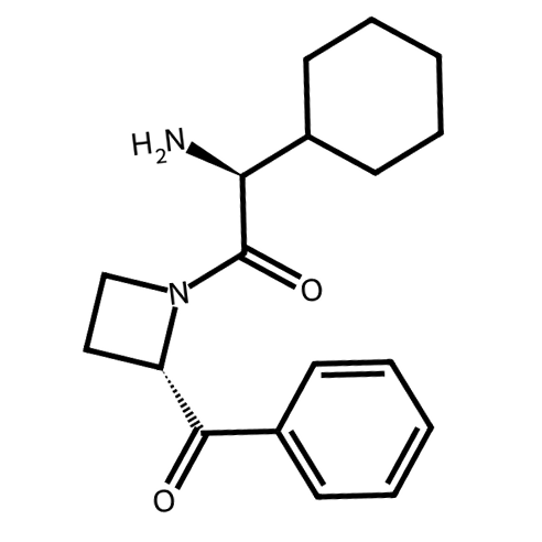 N[C@H](C(=O)N1CC[C@H]1C(=O)c1ccccc1)C1CCCCC1